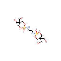 O=P1(NCCNP2(=O)OCC(CBr)(CBr)CO2)OCC(CBr)(CBr)CO1